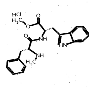 CN[C@H](Cc1ccccc1)C(=O)N[C@@H](Cc1c[nH]c2ccccc12)C(=O)OC.Cl